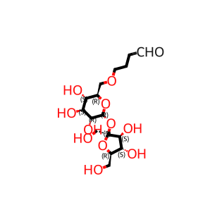 O=CCCCOC[C@H]1O[C@H](O[C@]2(CO)O[C@H](CO)[C@@H](O)[C@@H]2O)[C@H](O)[C@@H](O)[C@@H]1O